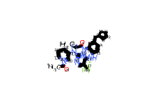 C=CC(=O)Nc1cc(CC2CCCC2)ccc1Nc1nc(N[C@H]2CCCN(C(C)=O)C2)ncc1C(F)(F)F